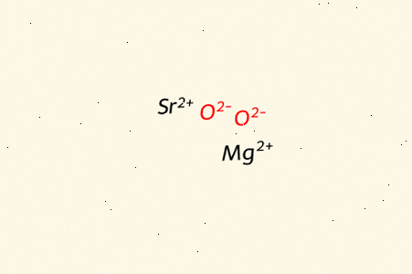 [Mg+2].[O-2].[O-2].[Sr+2]